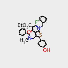 CCOC(=O)c1cn(Cc2ccccc2F)c2sc(-c3ccc(O)cc3)c(CN(C)Cc3ccccc3)c2c1=O